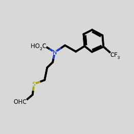 O=CCSCCCN(CCc1cccc(C(F)(F)F)c1)C(=O)O